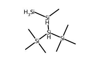 C[SiH]([SiH3])[SiH]([Si](C)(C)C)[Si](C)(C)C